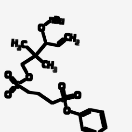 C=CC(OCCCC)C(C)(C)COS(=O)(=O)CCCS(=O)(=O)Oc1ccccc1